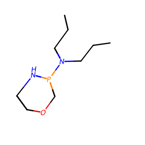 CCCN(CCC)P1COCCN1